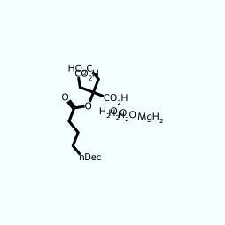 CCCCCCCCCCCCCC(=O)OC(CC(=O)O)(CC(=O)O)C(=O)O.O.O.O.[MgH2]